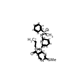 C=CCn1c(=O)c2cnc(SC)nc2n1-c1cccc(N=S(C)(=O)c2ccccc2)n1